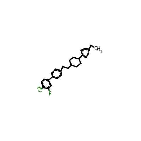 CCc1ccc(C2CCC(CCc3ccc(-c4ccc(Cl)c(F)c4)cc3)CC2)cc1